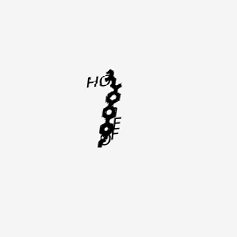 C=CC(O)CCC(C)C1CCC(C2CCC(c3ccc(OCC)c(F)c3F)CC2)CC1